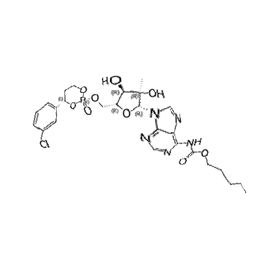 CCCCCOC(=O)Nc1ncnc2c1ncn2[C@@H]1O[C@H](CO[P@@]2(=O)OCC[C@@H](c3cccc(Cl)c3)O2)[C@@H](O)[C@@]1(C)O